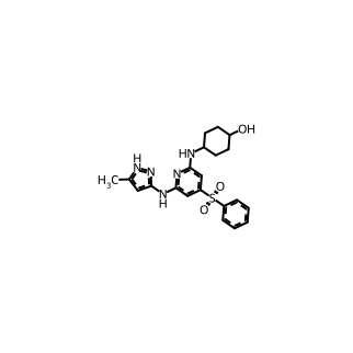 Cc1cc(Nc2cc(S(=O)(=O)c3ccccc3)cc(NC3CCC(O)CC3)n2)n[nH]1